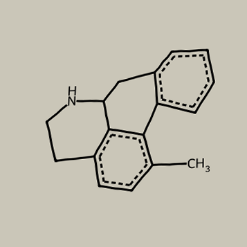 Cc1ccc2c3c1-c1ccccc1CC3NCC2